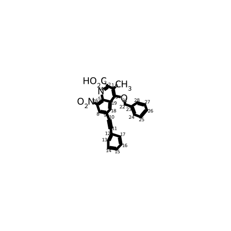 Cc1c(C(=O)O)nc2c([N+](=O)[O-])cc(C#Cc3ccccc3)cc2c1OCc1ccccc1